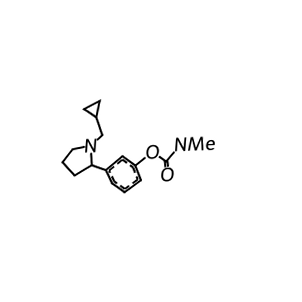 CNC(=O)Oc1cccc(C2CCCN2CC2CC2)c1